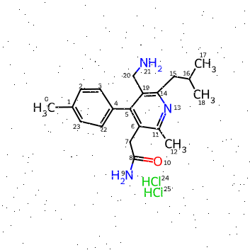 Cc1ccc(-c2c(CC(N)=O)c(C)nc(CC(C)C)c2CN)cc1.Cl.Cl